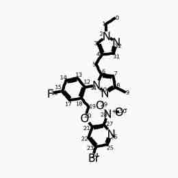 CCn1cc(Cc2cc(C)nn2-c2ccc(F)cc2COc2cc(Br)cnc2[N+](=O)[O-])cn1